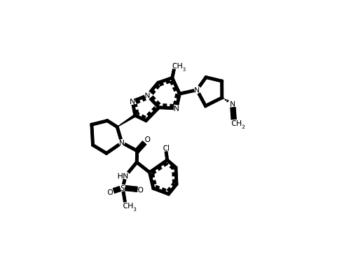 C=N[C@H]1CCN(c2nc3cc([C@@H]4CCCCN4C(=O)C(NS(C)(=O)=O)c4ccccc4Cl)nn3cc2C)C1